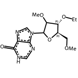 CCO[C@H]1C(OC)C(n2cnc3c(=O)[nH]cnc32)O[C@@H]1COC